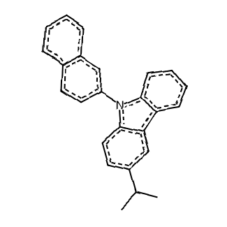 CC(C)c1ccc2c(c1)c1ccccc1n2-c1ccc2ccccc2c1